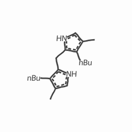 CCCCc1c(C)c[nH]c1Cc1[nH]cc(C)c1CCCC